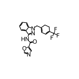 O=C(Nc1nn(CC2=CC=C(C(F)(F)F)CC2)c2ccccc12)c1cnco1